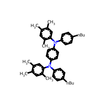 CCCCc1ccc(N(c2ccc(N(c3ccc(CCCC)cc3)c3cc(C)c(C)cc3C)cc2)c2cc(C)c(C)cc2C)cc1